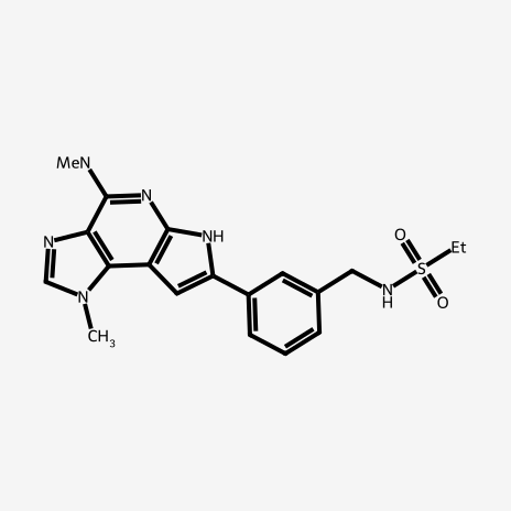 CCS(=O)(=O)NCc1cccc(-c2cc3c(nc(NC)c4ncn(C)c43)[nH]2)c1